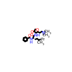 CC(C)C(C)CC[C@H](NC(=O)c1ccccc1)C(=O)NC1C(=O)COC1CCN(C)C